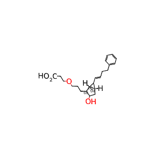 O=C(O)CCOCCC[C@@H]1C(O)C[C@H]2C(C=CCCc3ccccc3)[C@@H]12